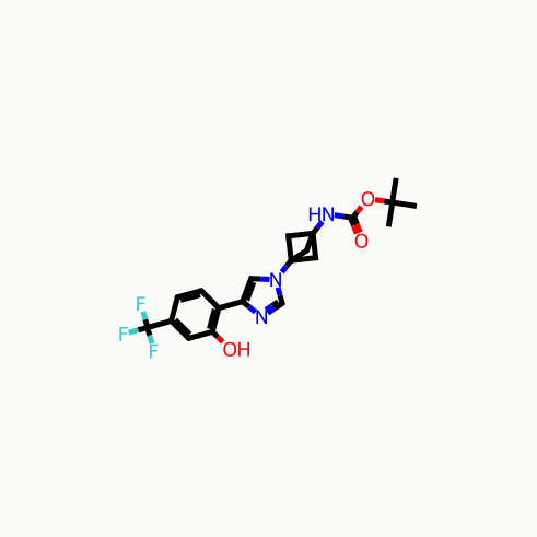 CC(C)(C)OC(=O)NC12CC(n3cnc(-c4ccc(C(F)(F)F)cc4O)c3)(C1)C2